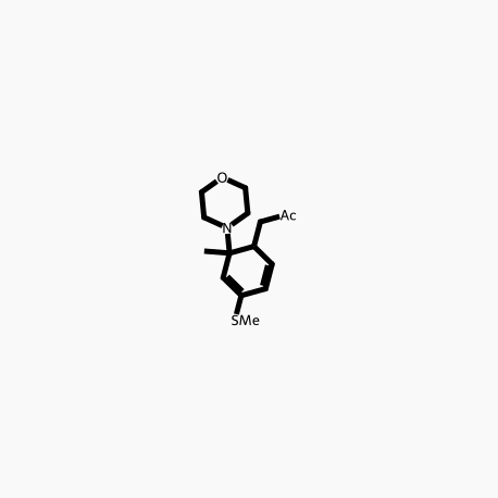 CSC1=CC(C)(N2CCOCC2)C(CC(C)=O)C=C1